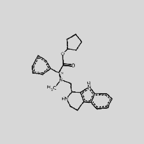 CN(CC1NCCc2c1[nH]c1ccccc21)[C@H](C(=O)OC1CCCC1)c1ccccc1